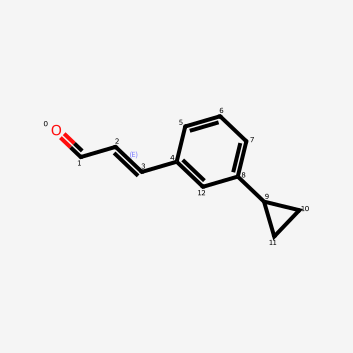 O=C/C=C/c1cccc(C2CC2)c1